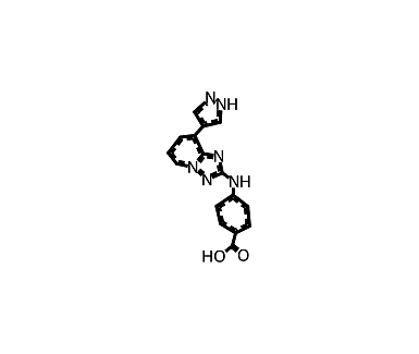 O=C(O)c1ccc(Nc2nc3c(-c4cn[nH]c4)cccn3n2)cc1